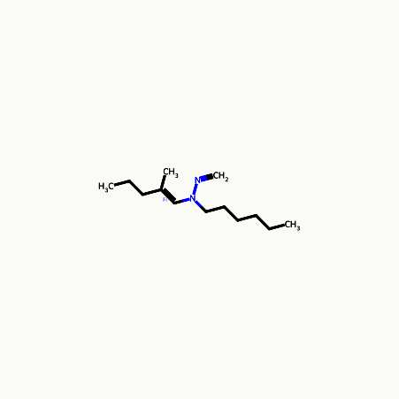 C=NN(/C=C(\C)CCC)CCCCCC